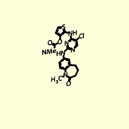 CNC(=O)Oc1ccsc1Nc1nc(Nc2ccc3c(c2)CCCC(=O)N3C)ncc1Cl